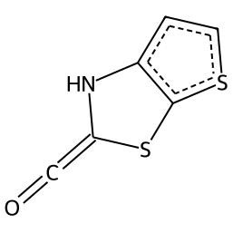 O=C=C1Nc2ccsc2S1